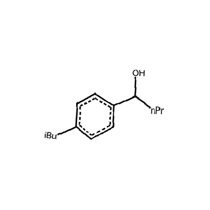 CCCC(O)c1ccc(C(C)CC)cc1